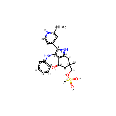 CC(=O)Nc1cc(-c2[nH]c3c(c2Nc2ccccc2)C(=O)CC(C)(COS(C)(=O)=O)C3)ccn1